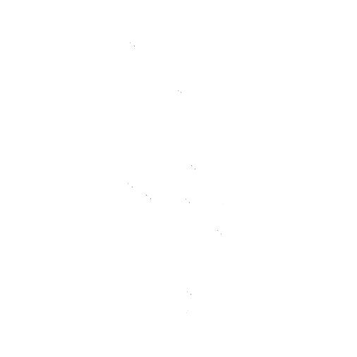 CCNCc1cncc(-c2ccc3[nH]nc(-c4ncc(C(=O)N5CCC(CNC(=O)C(F)(F)F)CC5)[nH]4)c3c2)c1C